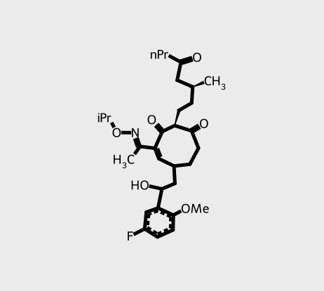 CCCC(=O)C[C@@H](C)CC[C@H]1C(=O)CCC(CC(O)c2cc(F)ccc2OC)/C=C(/C(C)=N/OC(C)C)C1=O